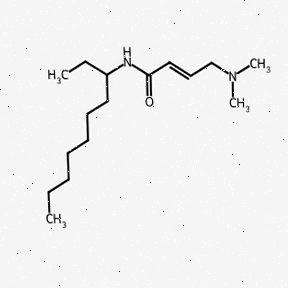 CCCCCCCC(CC)NC(=O)/C=C/CN(C)C